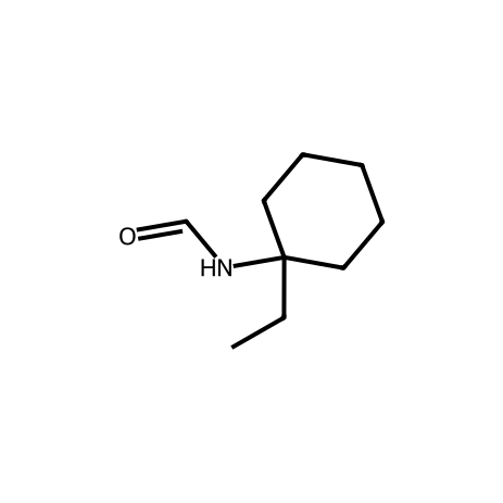 CCC1(NC=O)CCCCC1